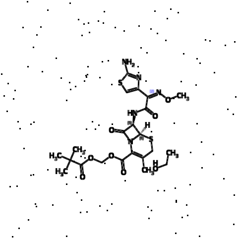 CCO.CO/N=C(\C(=O)N[C@@H]1C(=O)N2C(C(=O)OCOC(=O)C(C)(C)C)=C(C)CS[C@H]12)c1csc(N)n1